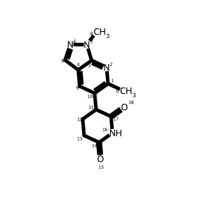 Cc1nc2c(cnn2C)cc1C1CCC(=O)NC1=O